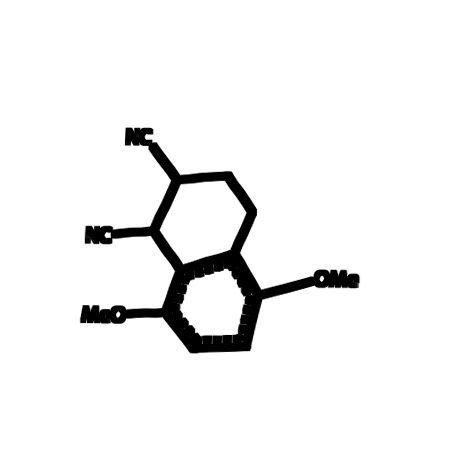 COc1ccc(OC)c2c1CCC(C#N)C2C#N